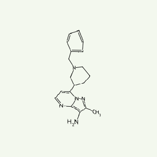 Cc1nn2c(C3CCCN(Cc4ccccc4)C3)ccnc2c1N